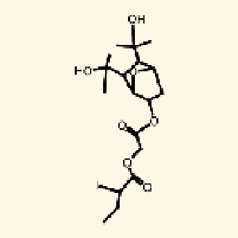 CCC(I)C(=O)OCC(=O)OC1CC2OC1C(C(C)(C)O)C2C(C)(C)O